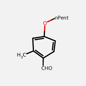 CCCCCOc1ccc(C=O)c(C)c1